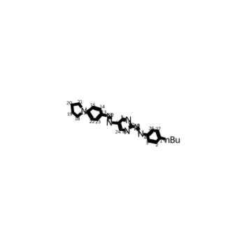 CCCCc1ccc(N=Nc2ncc(N=Nc3ccc(N4CCCC4)cc3)cn2)cc1